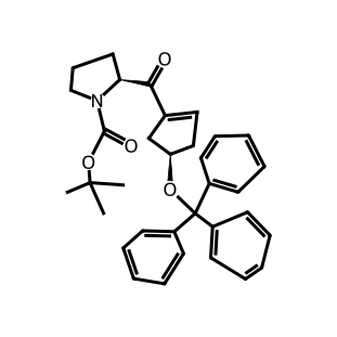 CC(C)(C)OC(=O)N1CCC[C@H]1C(=O)C1=CC[C@@H](OC(c2ccccc2)(c2ccccc2)c2ccccc2)C1